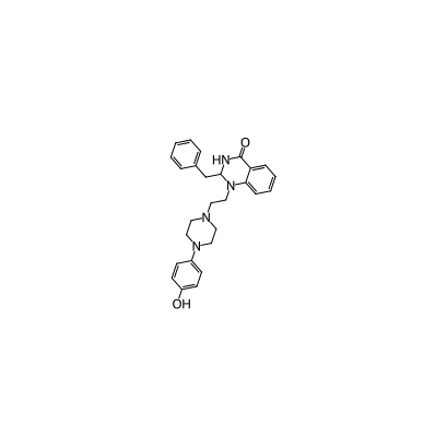 O=C1NC(Cc2ccccc2)N(CCN2CCN(c3ccc(O)cc3)CC2)c2ccccc21